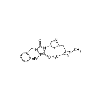 CCCn1c(=O)n(-c2cnn(CC3=C(C)N=C3C)c2)c(=O)n1Cc1ccccc1